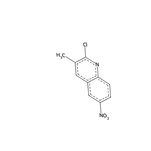 Cc1cc2cc([N+](=O)[O-])ccc2nc1Cl